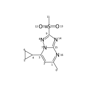 Cc1cc(C2CC2)n2nc(S(C)(=O)=O)nc2n1